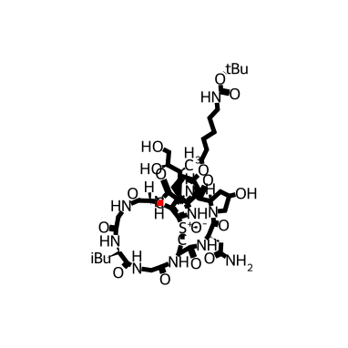 CC[C@H](C)[C@@H]1NC(=O)CNC(=O)[C@H]2Cc3c([nH]c4cc(OCCCCCCNC(=O)OC(C)(C)C)ccc34)[S@+]([O-])CC(NC(=O)CNC1=O)C(=O)N[C@@H](CC(N)=O)C(=O)N1CC(O)C[C@H]1C(=O)N[C@@H]([C@@H](C)[C@@H](O)CO)C(=O)N2